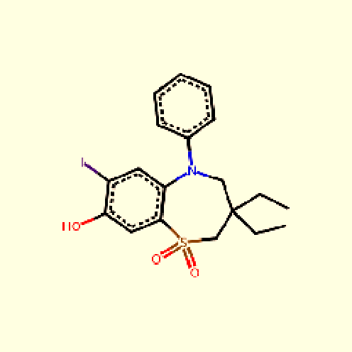 CCC1(CC)CN(c2ccccc2)c2cc(I)c(O)cc2S(=O)(=O)C1